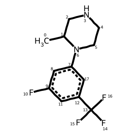 CC1CNCCN1c1cc(F)cc(C(F)(F)F)c1